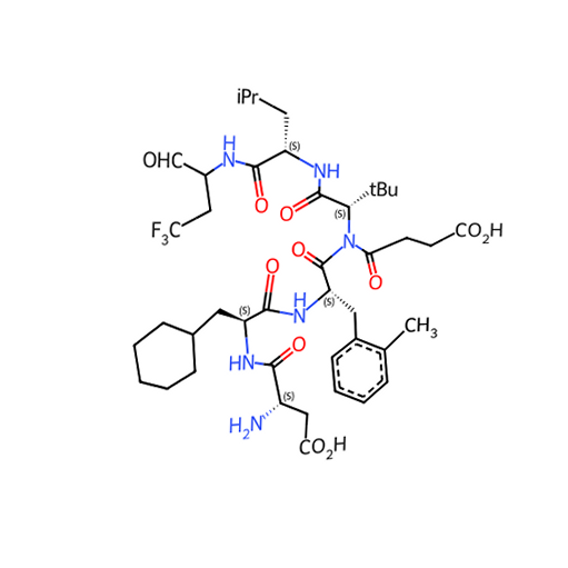 Cc1ccccc1C[C@H](NC(=O)[C@H](CC1CCCCC1)NC(=O)[C@@H](N)CC(=O)O)C(=O)N(C(=O)CCC(=O)O)[C@H](C(=O)N[C@@H](CC(C)C)C(=O)NC(C=O)CC(F)(F)F)C(C)(C)C